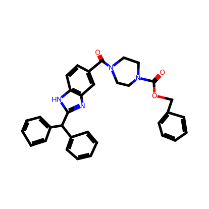 O=C(OCc1ccccc1)N1CCN(C(=O)c2ccc3[nH]c(C(c4ccccc4)c4ccccc4)nc3c2)CC1